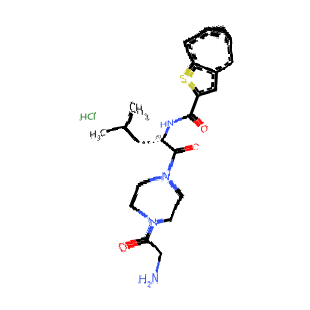 CC(C)C[C@H](NC(=O)c1cc2ccccc2s1)C(=O)N1CCN(C(=O)CN)CC1.Cl